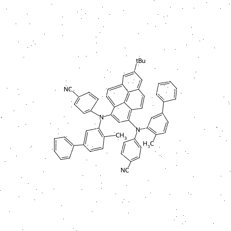 Cc1ccc(-c2ccccc2)cc1N(c1ccc(C#N)cc1)c1cc(N(c2ccc(C#N)cc2)c2cc(-c3ccccc3)ccc2C)c2ccc3cc(C(C)(C)C)cc4ccc1c2c43